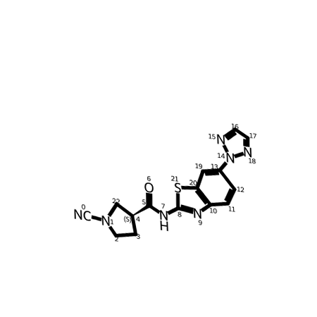 N#CN1CC[C@H](C(=O)Nc2nc3ccc(-n4nccn4)cc3s2)C1